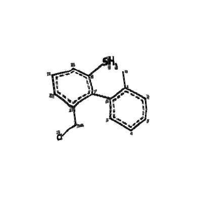 Cc1ccccc1-c1c([SiH3])cccc1CCl